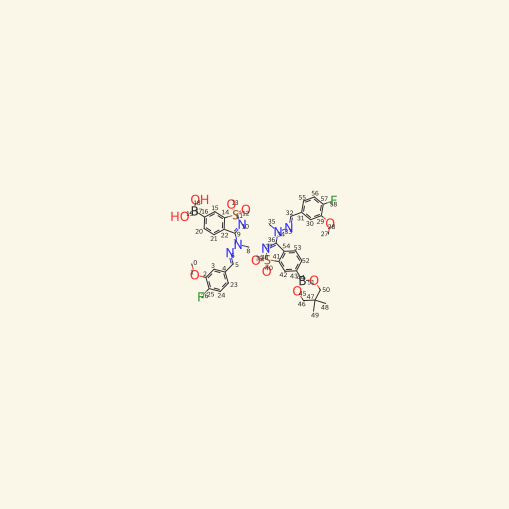 COc1cc(/C=N/N(C)C2=NS(=O)(=O)c3cc(B(O)O)ccc32)ccc1F.COc1cc(/C=N/N(C)C2=NS(=O)(=O)c3cc(B4OCC(C)(C)CO4)ccc32)ccc1F